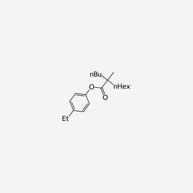 CCCCCCC(C)(CCCC)C(=O)Oc1ccc(CC)cc1